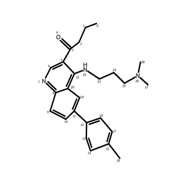 CCCC(=O)c1cnc2ccc(-c3ccc(C)cc3)cc2c1NCCCN(C)C